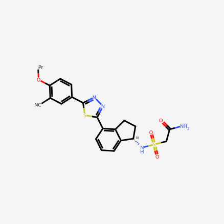 CC(C)Oc1ccc(-c2nnc(-c3cccc4c3CC[C@@H]4NS(=O)(=O)CC(N)=O)s2)cc1C#N